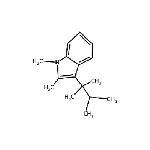 Cc1c(C(C)(C)C(C)C)c2ccccc2n1C